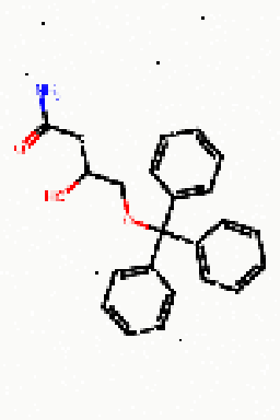 NC(=O)CC(O)COC(c1ccccc1)(c1ccccc1)c1ccccc1